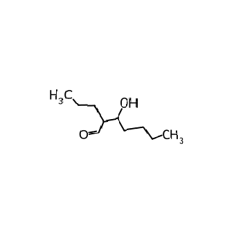 CCCCC(O)C(C=O)CCC